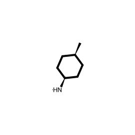 C[C@H]1CC[C@@H]([NH])CC1